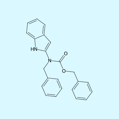 O=C(OCc1ccccc1)N(Cc1ccccc1)c1cc2ccccc2[nH]1